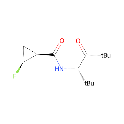 CC(C)(C)C(=O)[C@@H](NC(=O)[C@@H]1C[C@@H]1F)C(C)(C)C